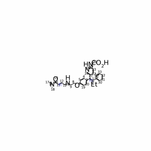 CC/C(=C(\c1ccc(OCCNC/C=C/C(=O)N(C)C)cc1)c1ccc(NC(=O)O)nc1)c1ccccc1